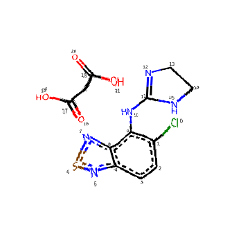 Clc1ccc2nsnc2c1NC1=NCCN1.O=C(O)C(=O)O